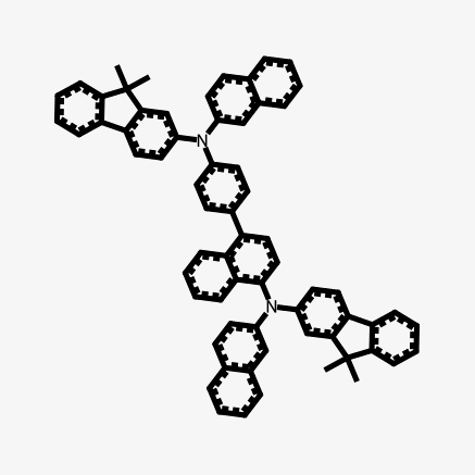 CC1(C)c2ccccc2-c2ccc(N(c3ccc(-c4ccc(N(c5ccc6c(c5)C(C)(C)c5ccccc5-6)c5ccc6ccccc6c5)c5ccccc45)cc3)c3ccc4ccccc4c3)cc21